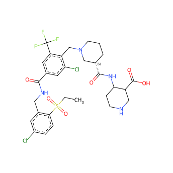 CCS(=O)(=O)c1ccc(Cl)cc1CNC(=O)c1cc(Cl)c(CN2CCC[C@H](C(=O)NC3CCNCC3C(=O)O)C2)c(C(F)(F)F)c1